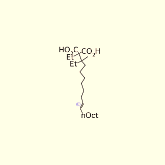 CCCCCCCC/C=C/CCCCCCC(C)(CC)C(CC)(C(=O)O)C(=O)O